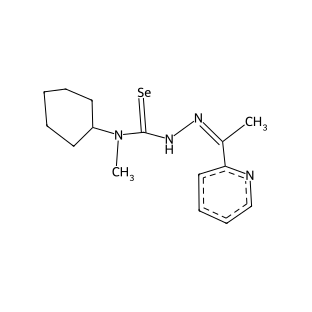 CC(=NNC(=[Se])N(C)C1CCCCC1)c1ccccn1